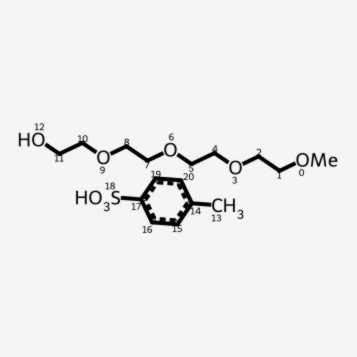 COCCOCCOCCOCCO.Cc1ccc(S(=O)(=O)O)cc1